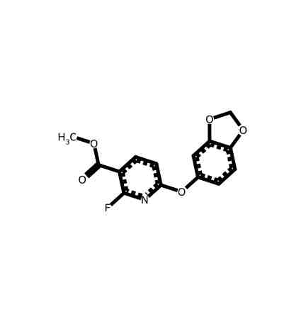 COC(=O)c1ccc(Oc2ccc3c(c2)OCO3)nc1F